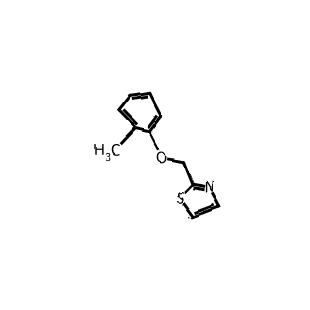 Cc1ccccc1OCc1nc[c]s1